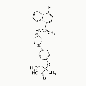 CCC(C)(Oc1ccc([C@@H]2CC[C@H](N[C@H](C)c3ccc(F)c4ccccc34)C2)cc1)C(=O)O